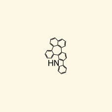 c1ccc2c(c1)-c1c(ccc3c1[nH]c1ccccc13)-c1cccc3cccc-2c13